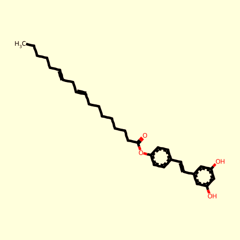 CCCCCC=CCC=CCCCCCCCC(=O)Oc1ccc(C=Cc2cc(O)cc(O)c2)cc1